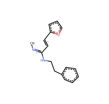 N#C/N=C(\C=C\c1ccco1)NCCc1ccccc1